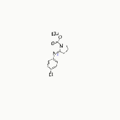 CCc1ccc(/N=C2\CCCN2C(=O)OC(C)(C)C)cc1